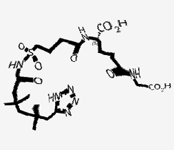 CC(C)(CC(=O)NS(=O)(=O)CCCC(=O)N[C@@H](CCC(=O)NCC(=O)O)C(=O)O)CC(C)(C)Cc1nnn[nH]1